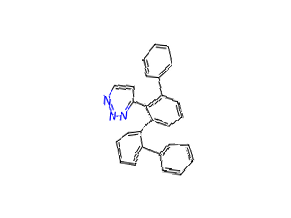 c1ccc(-c2ccccc2-c2cccc(-c3ccccc3)c2-c2ccnnn2)cc1